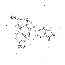 NC(I)/N=c1/c2ccc(C(=O)O)cc2nc(Cc2ccc3c(c2)OCO3)n1N